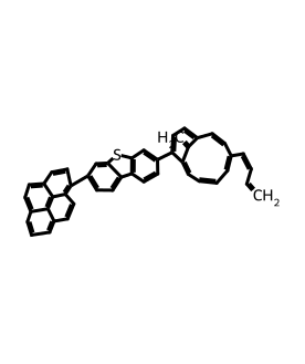 C=C/C=C\c1ccccc2c(-c3ccc4c(c3)sc3cc(-c5ccc6ccc7cccc8ccc5c6c78)ccc34)ccc(cc1)c2=C